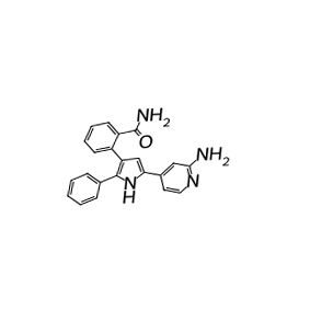 NC(=O)c1ccccc1-c1cc(-c2ccnc(N)c2)[nH]c1-c1ccccc1